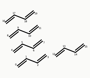 C=CC=C.C=CC=C.C=CC=C.C=CC=C.C=CC=C